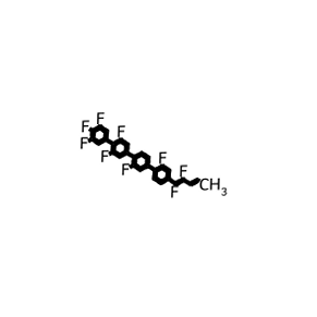 C/C=C/C(F)=C(\F)c1ccc(-c2ccc(-c3cc(F)c(-c4cc(F)c(F)c(F)c4)c(F)c3)c(F)c2)c(F)c1